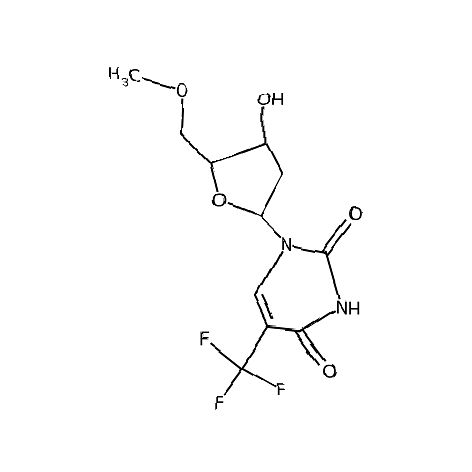 COCC1OC(n2cc(C(F)(F)F)c(=O)[nH]c2=O)CC1O